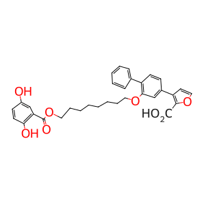 O=C(OCCCCCCCCOc1cc(-c2ccoc2C(=O)O)ccc1-c1ccccc1)c1cc(O)ccc1O